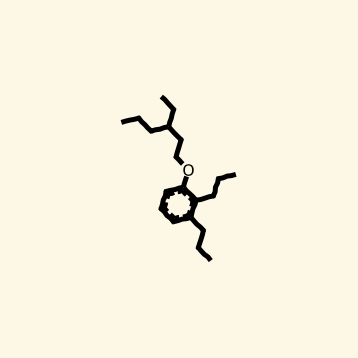 CCCc1cccc(OCCC(CC)CCC)c1CCC